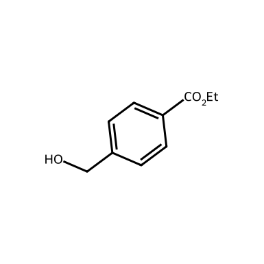 CCOC(=O)c1ccc(CO)cc1